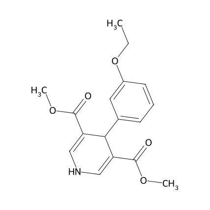 CCOc1cccc(C2C(C(=O)OC)=CNC=C2C(=O)OC)c1